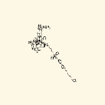 CC(C)(C)OC(=O)N[C@@H](CCCn1ccnc1N)C(=O)N[C@H]1CN(CCCCCCC(=O)NCCOCCOCCCCCCCl)CC1(C)C